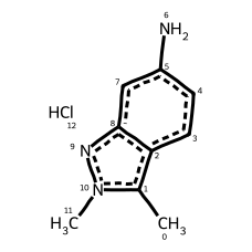 Cc1c2ccc(N)cc2nn1C.Cl